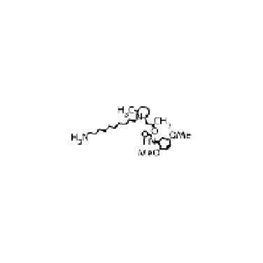 COc1ccc(OC)c(NC(=O)OC(C)CC2CCCC(C)N2CCCCCCCCCCN)c1